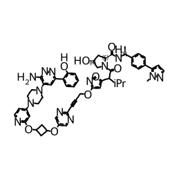 CC(C)C(C(=O)N1C[C@H](O)C[C@H]1C(=O)N[C@@H](C)c1ccc(-c2ccnn2C)cc1)c1cc(OCC#Cc2ncc(OC3CC(Oc4cc(N5CCN(c6cc(-c7ccccc7O)nnc6N)CC5)ccn4)C3)cn2)no1